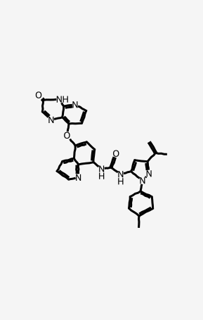 C=C(C)c1cc(NC(=O)Nc2ccc(Oc3ccnc4[nH]c(=O)cnc34)c3cccnc23)n(-c2ccc(C)cc2)n1